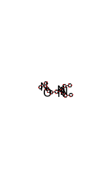 c1ccc(-c2cccc(-c3nc(-c4ccc(-c5ccc6oc7cc8c(cc7c6c5)c5ccccc5n8-c5ccccc5)cc4)nc(-c4cccc(-c5ccccc5)c4)n3)c2)cc1